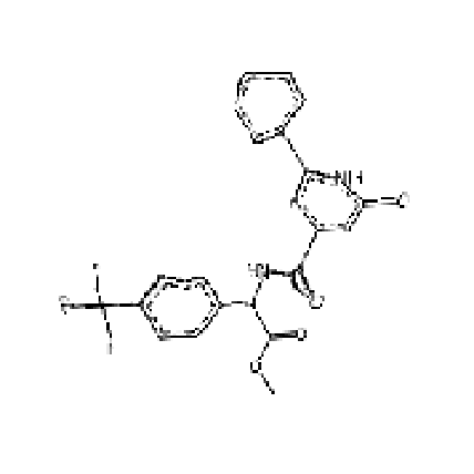 COC(=O)C(NC(=O)c1cc(=O)[nH]c(-c2ccccc2)n1)c1ccc(C(F)(F)F)cc1